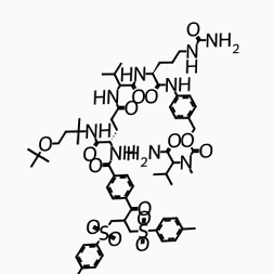 Cc1ccc(S(=O)(=O)CC(CS(=O)(=O)c2ccc(C)cc2)C(=O)c2ccc(C(=O)N[C@@H](CCC(=O)NC(C(=O)N[C@@H](CCCNC(N)=O)C(=O)Nc3ccc(COC(=O)N(C)C(C(N)=O)C(C)C)cc3)C(C)C)C(=O)NC(C)(C)CCOC(C)(C)C)cc2)cc1